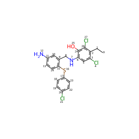 CCc1c(Cl)cc(NCc2cc(N)ccc2Sc2ccc(Cl)cc2)c(O)c1Cl